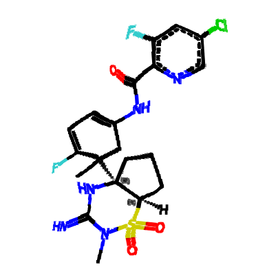 CN1C(=N)N[C@@]2(C3(C)CC(NC(=O)c4ncc(Cl)cc4F)=CC=C3F)CCC[C@H]2S1(=O)=O